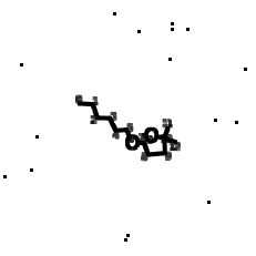 CCCCCCOC1CCC(C)(C)O1